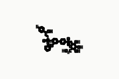 O=C(O)C1OC(CS(=O)(=O)c2ccc(-c3ccc([C@@H]4[C@@H](CC[C@H](O)c5ccc(F)cc5)C(=O)N4c4ccccc4)c(O)c3)cc2)[C@@H](O)[C@@H](O)[C@@H]1O